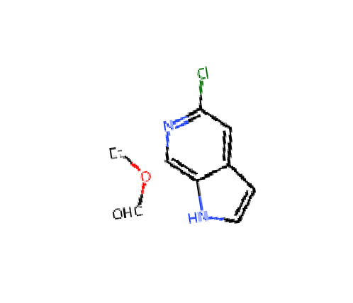 CCOC=O.Clc1cc2cc[nH]c2cn1